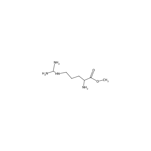 COC(=O)C(N)CCCNC(N)N